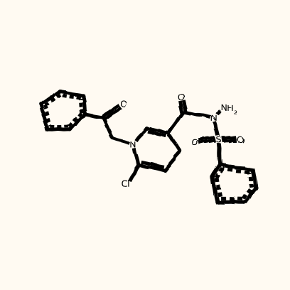 NN(C(=O)C1=CN(CC(=O)c2ccccc2)C(Cl)=CC1)S(=O)(=O)c1ccccc1